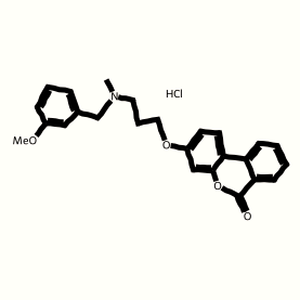 COc1cccc(CN(C)CCCOc2ccc3c(c2)oc(=O)c2ccccc23)c1.Cl